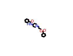 O=C(NC1CCN(CCCOC(=O)c2ccccc2)CC1)c1ccccc1